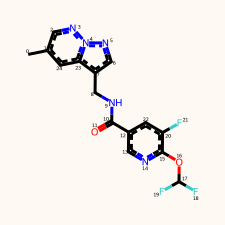 Cc1cnn2ncc(CNC(=O)c3cnc(OC(F)F)c(F)c3)c2c1